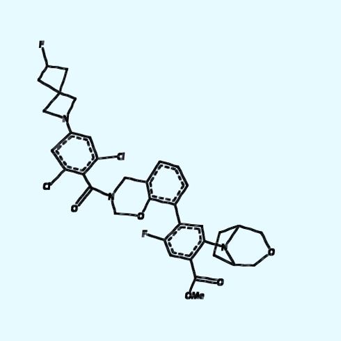 COC(=O)c1cc(F)c(-c2cccc3c2OCN(C(=O)c2c(Cl)cc(N4CC5(CC(F)C5)C4)cc2Cl)C3)cc1N1C2CCC1COC2